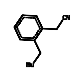 CCC(C)Cc1ccccc1CC#N